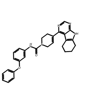 O=C(Nc1cccc(Oc2ccccc2)c1)N1CC=C(c2ncnc3[nH]c4c(c23)CCCC4)CC1